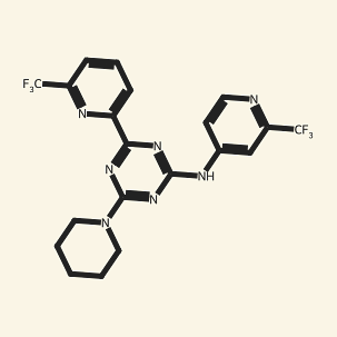 FC(F)(F)c1cc(Nc2nc(-c3cccc(C(F)(F)F)n3)nc(N3CCCCC3)n2)ccn1